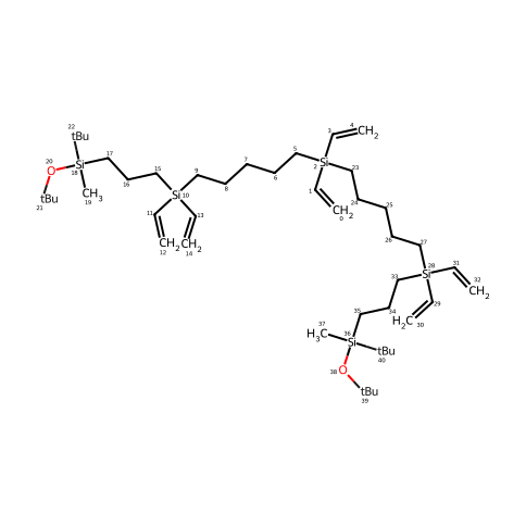 C=C[Si](C=C)(CCCCC[Si](C=C)(C=C)CCC[Si](C)(OC(C)(C)C)C(C)(C)C)CCCCC[Si](C=C)(C=C)CCC[Si](C)(OC(C)(C)C)C(C)(C)C